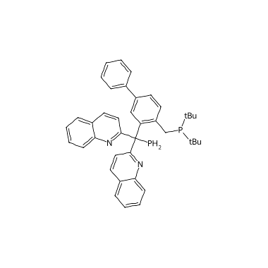 CC(C)(C)P(Cc1ccc(-c2ccccc2)cc1C(P)(c1ccc2ccccc2n1)c1ccc2ccccc2n1)C(C)(C)C